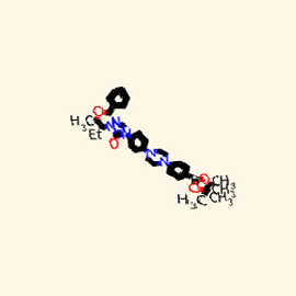 CCC(C(C)OCc1ccccc1)n1ncn(-c2ccc(N3CCN(c4ccc(B5OC(C)(C)C(C)(C)O5)cc4)CC3)cc2)c1=O